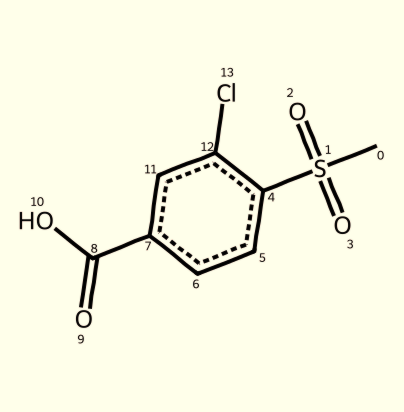 CS(=O)(=O)c1ccc(C(=O)O)cc1Cl